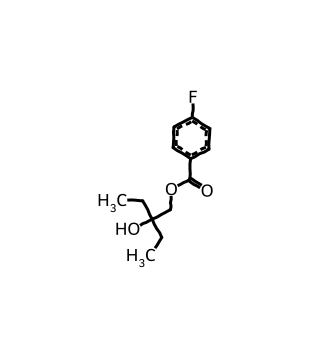 CCC(O)(CC)COC(=O)c1ccc(F)cc1